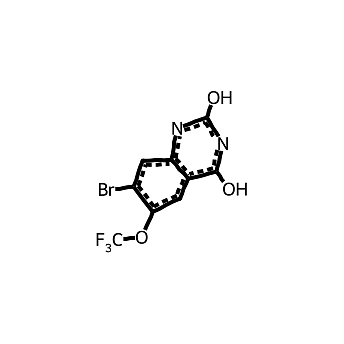 Oc1nc(O)c2cc(OC(F)(F)F)c(Br)cc2n1